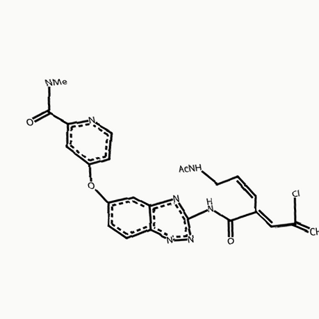 C=C(Cl)/C=C(\C=C/CNC(C)=O)C(=O)Nc1nnc2ccc(Oc3ccnc(C(=O)NC)c3)cc2n1